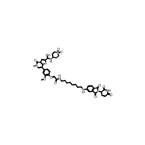 COc1cc(-c2cn(C)c(=O)c3cc(C(=N)NC4CCS(=O)(=O)CC4)sc23)ccc1OCC(=O)NCCCCCCCCNc1ccc2c(c1)C(=O)N(C1CCC(=O)NC1=O)C2=O